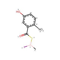 CB(I)SC(=O)c1cc(O)ccc1[N+](=O)[O-]